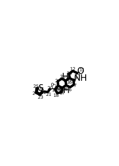 C[C@]12CC[C@H]3[C@@H](CCC4NC(=O)CC[C@@]43C)[C@@H]1CC[C@@H]2CCc1cccs1